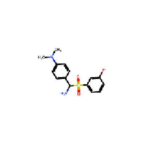 CN(C)c1ccc(C(N)S(=O)(=O)c2cccc(Br)c2)cc1